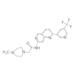 CN1CCN(CC(=O)Nc2cc3nc(-c4cncc(C(F)(F)F)c4)ccc3cn2)CC1